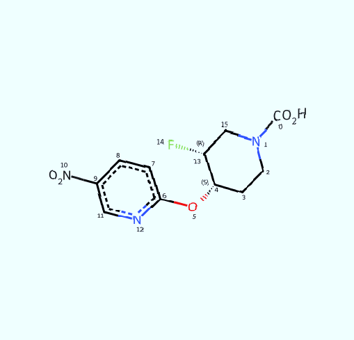 O=C(O)N1CC[C@H](Oc2ccc([N+](=O)[O-])cn2)[C@H](F)C1